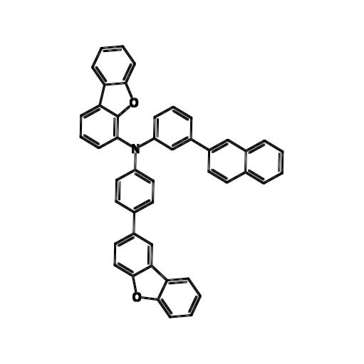 c1cc(-c2ccc3ccccc3c2)cc(N(c2ccc(-c3ccc4oc5ccccc5c4c3)cc2)c2cccc3c2oc2ccccc23)c1